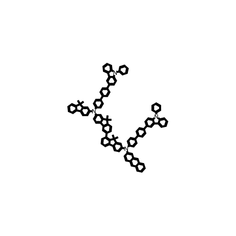 CC1(C)c2ccccc2-c2ccc(N(c3ccc(-c4ccc(-c5ccc6c(c5)c5ccccc5n6-c5ccccc5)cc4)cc3)c3ccc4c(c3)C(C)(C)c3ccc(-c5cccc6c5C(C)(C)c5cc(N(c7ccc(-c8ccc(-c9ccc%10c(c9)c9ccccc9n%10-c9ccccc9)cc8)cc7)c7ccc8cc9ccccc9cc8c7)ccc5-6)cc3-4)cc21